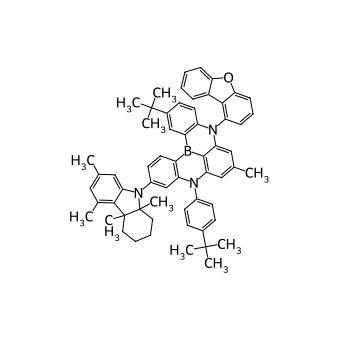 Cc1cc2c3c(c1)N(c1cccc4oc5ccccc5c14)c1ccc(C(C)(C)C)cc1B3c1ccc(N3c4cc(C)cc(C)c4C4(C)CCCCC34C)cc1N2c1ccc(C(C)(C)C)cc1